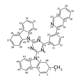 CC1C=Cc2c(n(-c3nc(-c4cccc(-c5cc6ccccc6cn5)c4)nc(-n4c5ccccc5c5ccccc54)n3)c3ccccc23)C1